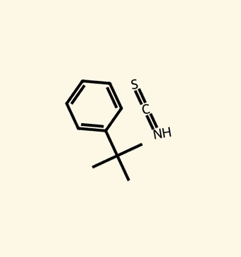 CC(C)(C)c1ccccc1.N=C=S